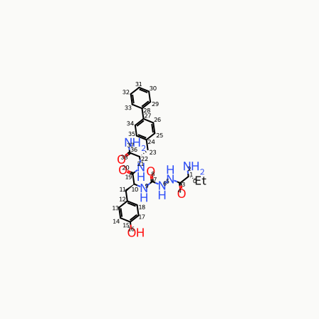 CC[C@@H](N)C(=O)NNC(=O)N[C@@H](Cc1ccc(O)cc1)C(=O)N[C@@H](Cc1ccc(-c2ccccc2)cc1)C(N)=O